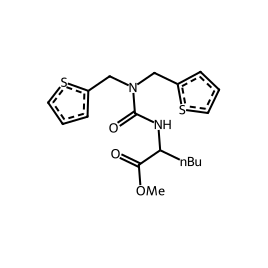 CCCCC(NC(=O)N(Cc1cccs1)Cc1cccs1)C(=O)OC